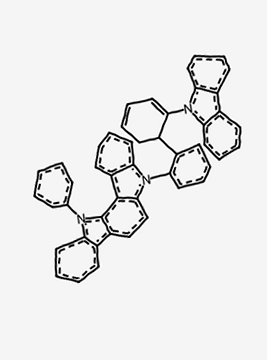 C1=CCC(c2ccccc2-n2c3ccccc3c3c2ccc2c4ccccc4n(-c4ccccc4)c23)C(n2c3ccccc3c3ccccc32)=C1